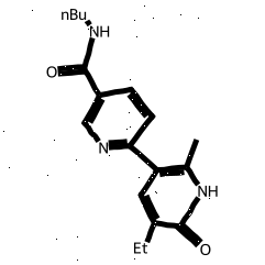 CCCCNC(=O)c1ccc(-c2cc(CC)c(=O)[nH]c2C)nc1